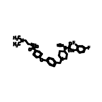 CCCCN(C(=O)Nc1ccc(F)cc1F)C1CCN(Cc2ccc(Oc3ccc(S(=O)(=O)NCCN(C)C)cc3)cc2)CC1